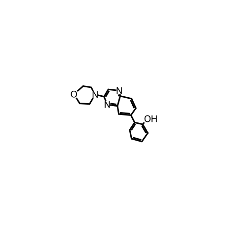 Oc1ccccc1-c1ccc2ncc(N3CCOCC3)nc2c1